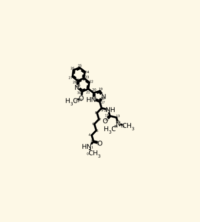 CNC(=O)CCCCCC(NC(=O)CN(C)C)c1ncc(-c2cc3ccccc3nc2OC)[nH]1